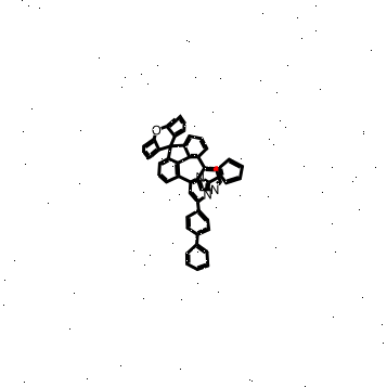 c1ccc(-c2ccc(-c3cc(-c4cccc5c4-c4c(-c6ccncc6)cccc4C54c5ccccc5Oc5ccccc54)nc(-c4ccccc4)n3)cc2)cc1